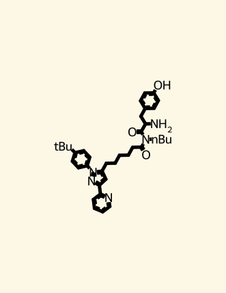 CCCCN(C(=O)CCCCCc1cc(-c2ccccn2)nn1-c1ccc(C(C)(C)C)cc1)C(=O)C(N)Cc1ccc(O)cc1